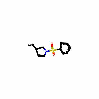 CNC1C=CN(S(=O)(=O)c2ccccc2)C1